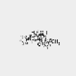 COc1cccc(C(=O)Nc2cc3cn(C4CCCCC4)nc3cc2C(C)(C)O)n1